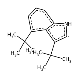 CC(C)(C)c1[c][nH]c2cccc(C(C)(C)C)c12